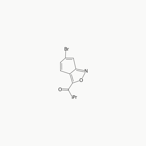 CC(C)C(=O)c1onc2cc(Br)ccc12